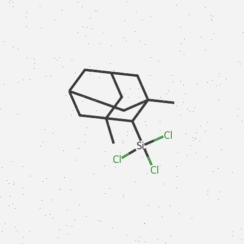 CC12CC3CC(C1)CC(C)(C3)C2[Si](Cl)(Cl)Cl